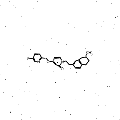 CN1CCc2ccc(CCn3ccc(OCc4ccc(F)cn4)cc3=O)cc2C1